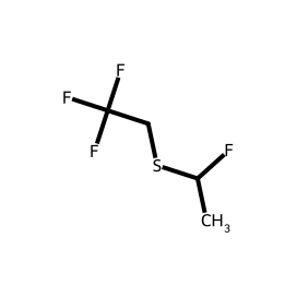 CC(F)SCC(F)(F)F